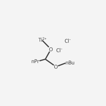 CCCCOC(CCC)[O][Ti+2].[Cl-].[Cl-]